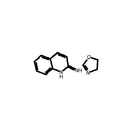 C1=NCCO1.N=c1ccc2ccccc2[nH]1